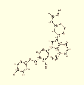 C=CB(C)ON1CCCC(n2nc(-c3ccc(OCc4ccc(C)nc4)c(Cl)c3)c3c(N)ncnc32)C1